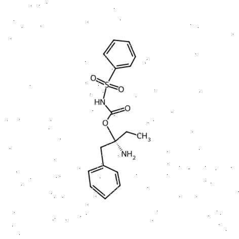 CC[C@@](N)(Cc1ccccc1)OC(=O)NS(=O)(=O)c1ccccc1